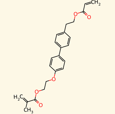 C=CC(=O)OCCc1ccc(-c2ccc(OCCOC(=O)C(=C)C)cc2)cc1